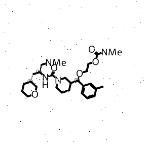 CNC[C@H](C[C@H]1CCCOC1)NC(=O)N1CCCC([C@@H](OCCOC(=O)NC)c2cccc(C)c2)C1